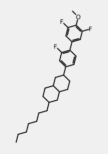 CCCCCCCC1CCC2CC(c3ccc(-c4cc(F)c(OC)c(F)c4)c(F)c3)CCC2C1